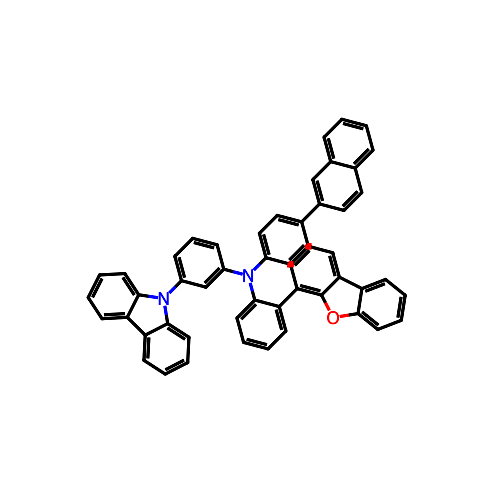 c1cc(N(c2ccc(-c3ccc4ccccc4c3)cc2)c2ccccc2-c2cccc3c2oc2ccccc23)cc(-n2c3ccccc3c3ccccc32)c1